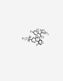 CS(=O)(=O)C1CCN(c2c(F)cncc2NC(=O)C(C(N)N)C2NCC(F)CN2)CC1